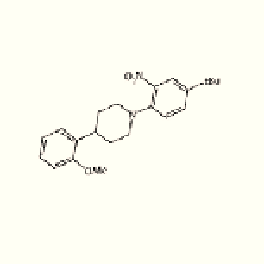 COc1ccccc1C1CCN(c2ccc(C(C)(C)C)cc2[N+](=O)[O-])CC1